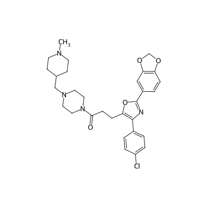 CN1CCC(CN2CCN(C(=O)CCc3oc(-c4ccc5c(c4)OCO5)nc3-c3ccc(Cl)cc3)CC2)CC1